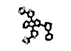 c1ccc(-c2cccc(-c3ccc4c(-c5ccnc(-c6cnco6)c5)c5ccccc5c(-c5ccnc(-c6cnco6)c5)c4c3)c2)cc1